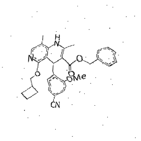 COc1cc(C#N)ccc1C1C(C(=O)OCc2ccccc2)=C(C)Nc2c(C)cnc(OCC3CCC3)c21